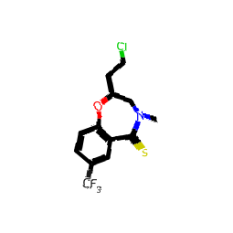 CN1CC(CCCl)Oc2ccc(C(F)(F)F)cc2C1=S